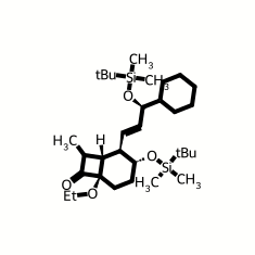 CCO[C@]12CC[C@@H](O[Si](C)(C)C(C)(C)C)[C@H](/C=C/[C@@H](O[Si](C)(C)C(C)(C)C)C3CCCCC3)[C@H]1C(C)C2=O